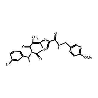 COc1ccc(CNC(=O)c2cn3c(=O)n(C(F)c4cccc(Br)c4)c(=O)c(C)c3s2)cn1